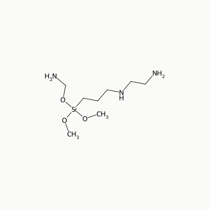 CO[Si](CCCNCCN)(OC)OCN